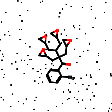 Cc1ccccc1C(=O)C(CC1CO1)(CC1CO1)C(CC1CO1)CC1CO1